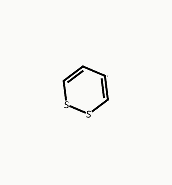 [C]1=CSSC=C1